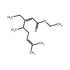 CCOC(=O)C=C(CC)C(C)CC=C(C)C